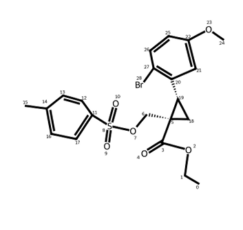 CCOC(=O)[C@]1(COS(=O)(=O)c2ccc(C)cc2)C[C@H]1c1cc(OC)ccc1Br